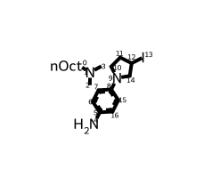 CCCCCCCCN(C)C.Nc1ccc(N2CCC(I)C2)cc1